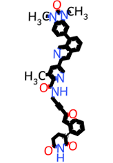 Cc1cc(-c2cc3cccc(-c4ccc5c(c4)n(C)c(=O)n5C)c3cn2)cnc1C(=O)NCC#Cc1cc2c([C@@H]3CCC(=O)NC3=O)cccc2o1